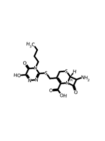 CCCCn1c(SCC2=C(C(=O)O)N3C(=O)C(N)[C@H]3SC2)nnc(O)c1=O